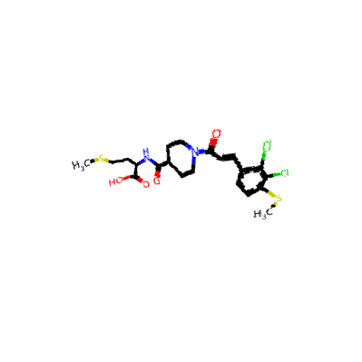 CSCCC(NC(=O)C1CCN(C(=O)C=Cc2ccc(SC)c(Cl)c2Cl)CC1)C(=O)O